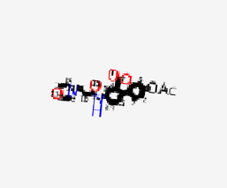 CC(=O)Oc1ccc2c(c1)oc(=O)c1cc(NC(=O)CCN3CCOCC3)ccc12